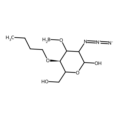 BOC1C(N=[N+]=[N-])C(O)OC(CO)[C@H]1OCCCC